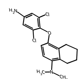 CN(C)c1ccc(Oc2c(Cl)cc(N)cc2Cl)c2c1CCCC2